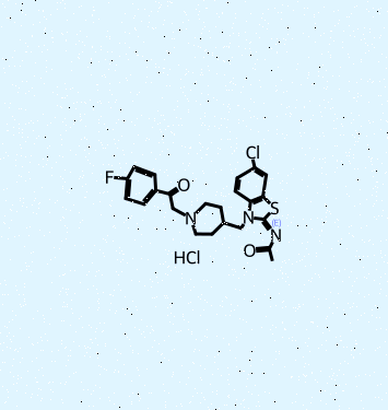 CC(=O)/N=c1/sc2cc(Cl)ccc2n1CC1CCN(CC(=O)c2ccc(F)cc2)CC1.Cl